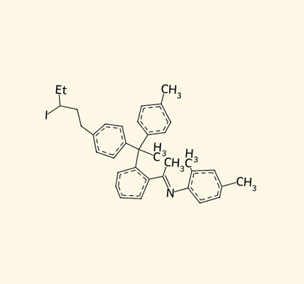 CCC(I)CCc1ccc(C(C)(c2ccc(C)cc2)c2ccccc2/C(C)=N/c2ccc(C)cc2C)cc1